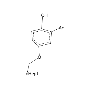 CCCCCCCCOc1ccc(O)c(C(C)=O)c1